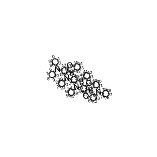 c1ccc(N(c2ccccc2)c2cc3c4c(c2)N(c2ccccc2)c2cc5c(cc2B4c2ccccc2O3)B2c3ccccc3Oc3c4c(cc(c32)N5c2ccccc2)Oc2cccc3c2B4c2ccccc2N3c2ccccc2)cc1